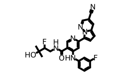 CC(C)(O)C(F)CNC(=O)c1cnc(-c2ccc3cc(C#N)cnn23)cc1Nc1cccc(F)c1